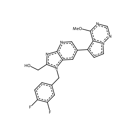 COc1ncnn2ccc(-c3cnc4nc(CO)n(Cc5ccc(F)c(F)c5)c4c3)c12